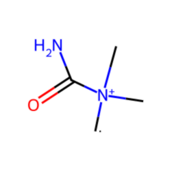 [CH2][N+](C)(C)C(N)=O